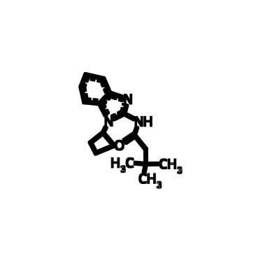 CC(C)(C)CC(=O)Nc1nc2ccccc2n1C1CCC1